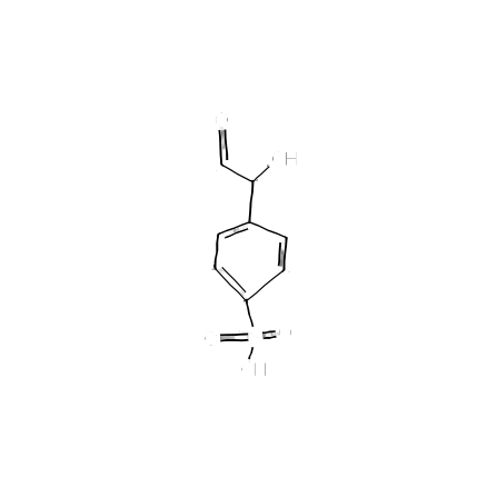 CC(C=O)c1ccc(S(C)(=O)=O)cc1